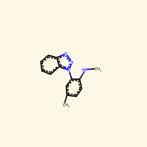 CNc1ccc(C)cc1-n1nnc2ccccc21